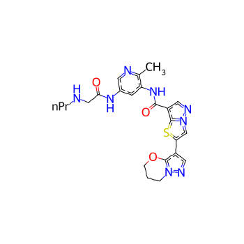 CCCNCC(=O)Nc1cnc(C)c(NC(=O)c2cnn3cc(-c4cnn5c4OCCC5)sc23)c1